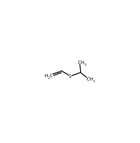 C=CSC(C)C